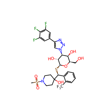 CS(=O)(=O)N1CCC(O)([C@@H](S[C@@H]2O[C@H](CO)[C@H](O)[C@H](n3cc(-c4cc(F)c(F)c(F)c4)nn3)[C@H]2O)c2ccccc2C(F)(F)F)CC1